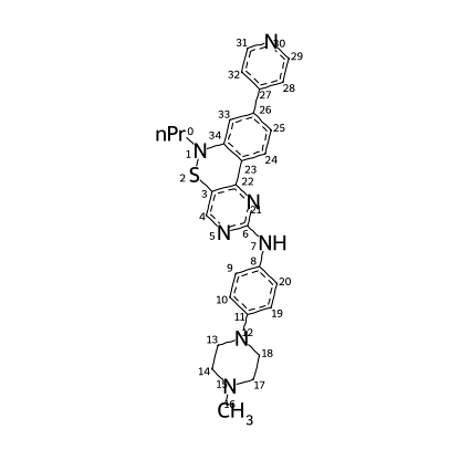 CCCN1Sc2cnc(Nc3ccc(N4CCN(C)CC4)cc3)nc2-c2ccc(-c3ccncc3)cc21